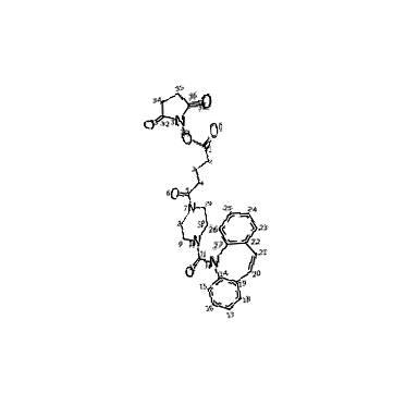 O=C(CCCC(=O)N1CCN(C(=O)N2c3ccccc3C=Cc3ccccc32)CC1)ON1C(=O)CCC1=O